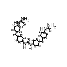 NC(=S)NC1CCC(CC2CCC(NC(=S)NC3CCC(CC4CCC(NC(N)=S)CC4)CC3)CC2)CC1